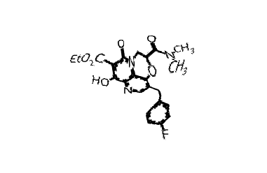 CCOC(=O)c1c(O)c2ncc(Cc3ccc(F)cc3)c3c2n(c1=O)CC(C(=O)N(C)C)O3